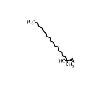 CCCCCCCCCCCCCCCCC(C)(O)C1CC1